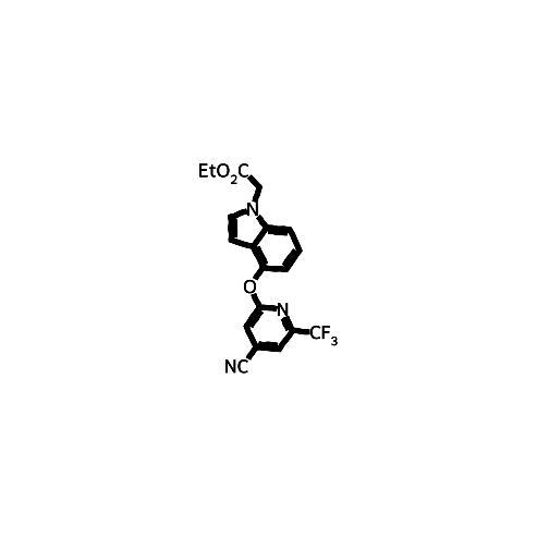 CCOC(=O)Cn1ccc2c(Oc3cc(C#N)cc(C(F)(F)F)n3)cccc21